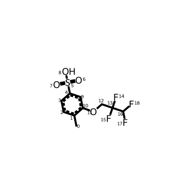 Cc1ccc(S(=O)(=O)O)cc1OCC(F)(F)C(F)F